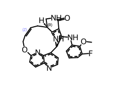 COc1c(F)cccc1Nc1c2[nH]c3c1C(=O)NC[C@H]3C/C=C\COc1ccc3nccc-2c3n1